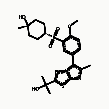 COc1ccc(-c2c(C)nc3sc(C(C)(C)O)nn23)cc1S(=O)(=O)[C@H]1CC[C@@](C)(O)CC1